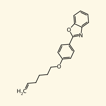 C=CCCCCOc1ccc(-c2nc3ccccc3o2)cc1